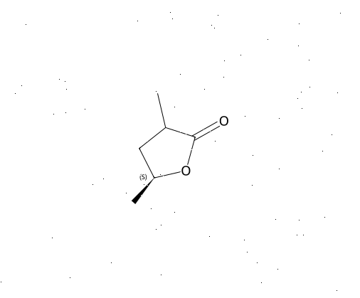 CC1C[C@H](C)OC1=O